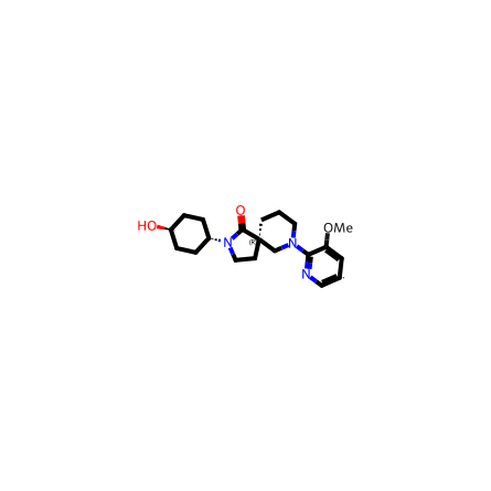 COc1c[c]cnc1N1CCC[C@@]2(CCN([C@H]3CC[C@H](O)CC3)C2=O)C1